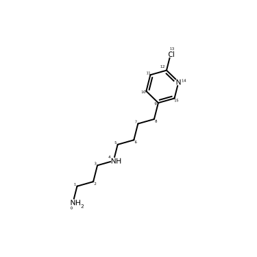 NCCCNCCCCc1ccc(Cl)nc1